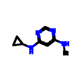 CCNc1cc(NC2CC2)ncn1